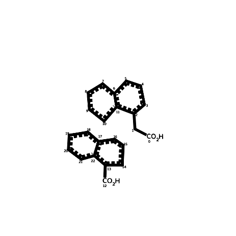 O=C(O)Cc1cccc2ccccc12.O=C(O)c1cccc2ccccc12